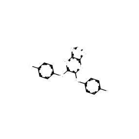 Fc1ccc(Nc2nc3nonc3nc2Nc2ccc(F)cc2)cc1